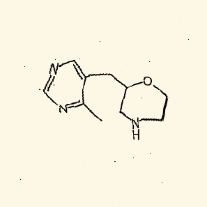 Cc1n[c]ncc1CC1CNCCO1